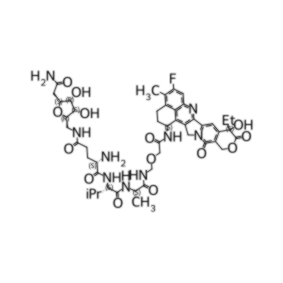 CC[C@@]1(O)C(=O)OCc2c1cc1n(c2=O)Cc2c-1nc1cc(F)c(C)c3c1c2[C@@H](NC(=O)COCNC(=O)[C@H](C)NC(=O)[C@@H](NC(=O)[C@@H](N)CCC(=O)NC[C@H]1O[C@@H](CC(N)=O)[C@H](O)[C@@H]1O)C(C)C)CC3